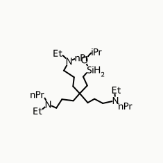 CCCN(CC)CCCC(CCCN(CC)CCC)(CCCN(CC)CCC)CC[SiH2]OC(C)C